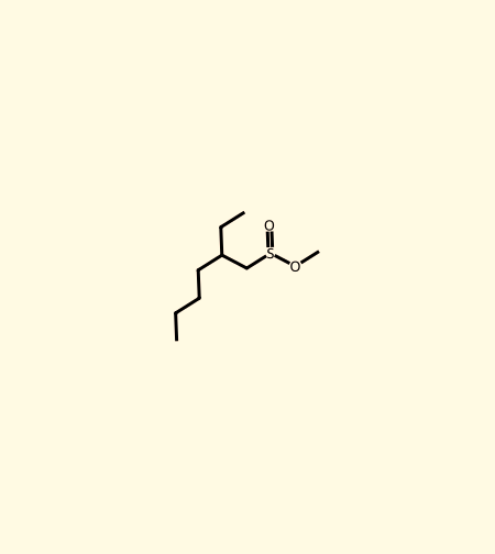 CCCCC(CC)CS(=O)OC